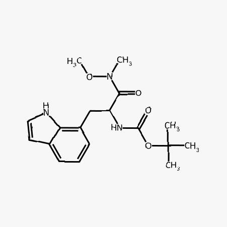 CON(C)C(=O)C(Cc1cccc2cc[nH]c12)NC(=O)OC(C)(C)C